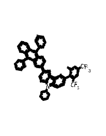 Cc1cc(C(F)(F)F)cc(C(F)(F)F)c1-c1ccc2c(c1)c1cc(-c3ccc4c(-c5ccccc5)c5ccccc5c(-c5ccccc5)c4c3)ccc1n2-c1ccccc1